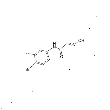 O=C(C=NO)Nc1ccc(Br)c(F)c1